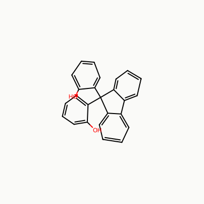 Oc1ccccc1C1(c2ccccc2O)c2ccccc2-c2ccccc21